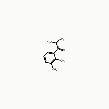 Cc1cccc([PH](=O)C(C)C)c1C